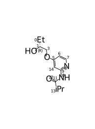 CC[C@@H](O)COc1ccnc(NC(=O)C(C)C)c1